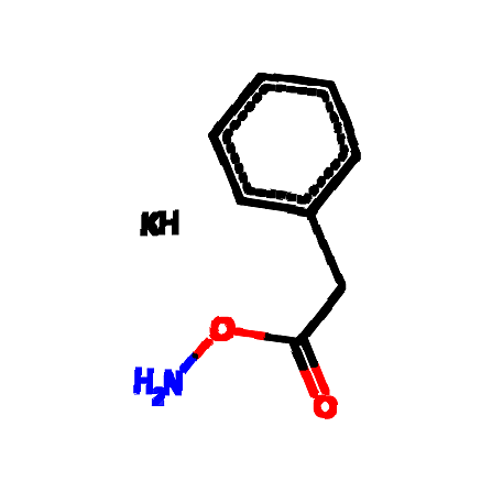 NOC(=O)Cc1ccccc1.[KH]